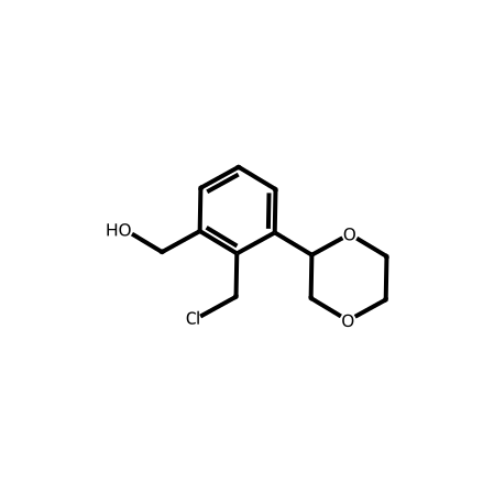 OCc1cccc(C2COCCO2)c1CCl